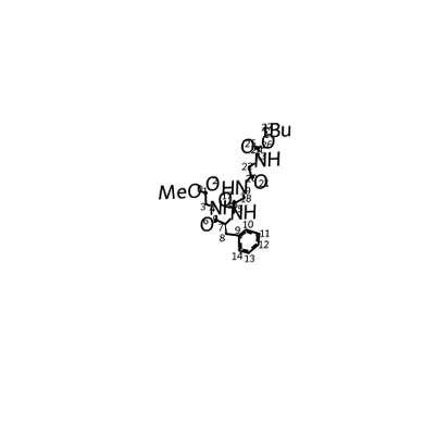 COC(=O)CNC(=O)[C@H](Cc1ccccc1)NC(=O)CNC(=O)CNC(=O)OC(C)(C)C